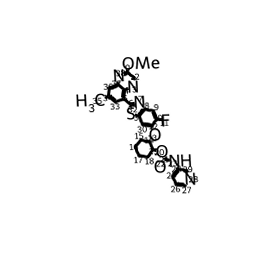 COc1cnc2c(-c3nc4cc(F)c(OC5CCCCC5OC(=O)Nc5cccnc5)cc4s3)cc(C)cc2n1